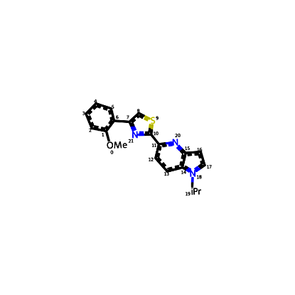 COc1ccccc1-c1csc(-c2ccc3c(ccn3C(C)C)n2)n1